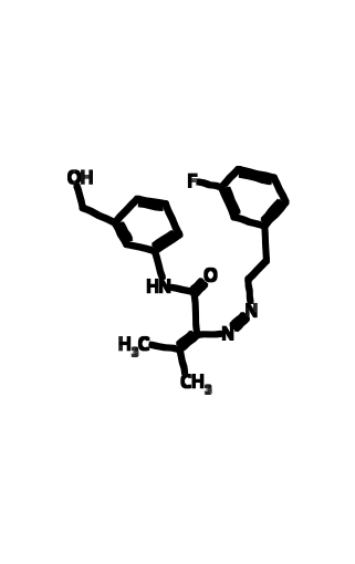 CC(C)=C(/N=N\CCc1cccc(F)c1)C(=O)Nc1cccc(CO)c1